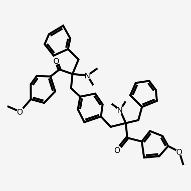 COc1ccc(C(=O)C(Cc2ccccc2)(Cc2ccc(CC(Cc3ccccc3)(C(=O)c3ccc(OC)cc3)N(C)C)cc2)N(C)C)cc1